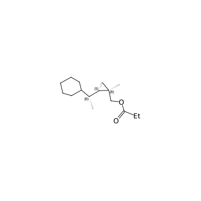 CCC(=O)OC[C@]1(C)C[C@H]1[C@H](C)C1CCCCC1